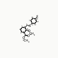 COC(=O)c1cccc(CSc2ccc(F)cc2)c1OC